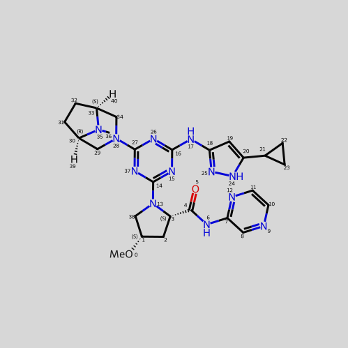 CO[C@H]1C[C@@H](C(=O)Nc2cnccn2)N(c2nc(Nc3cc(C4CC4)[nH]n3)nc(N3C[C@H]4CC[C@@H](C3)N4C)n2)C1